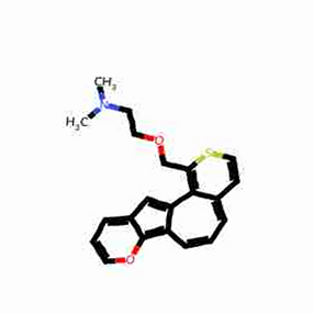 CN(C)CCOCC1=c2c(cccc3c2cc2cccoc23)C=CS1